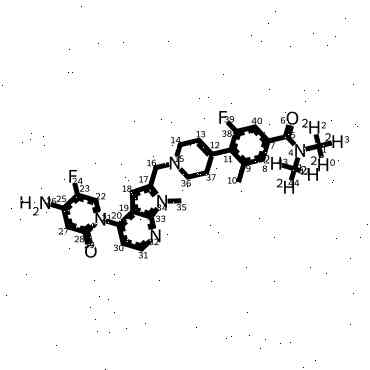 [2H]C([2H])([2H])N(C(=O)c1cc(C)c(C2=CCN(Cc3cc4c(-n5cc(F)c(N)cc5=O)ccnc4n3C)CC2)c(F)c1)C([2H])([2H])[2H]